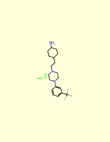 Cl.Cl.NC1CCC(CCN2CCN(c3cccc(C(F)(F)F)c3)CC2)CC1